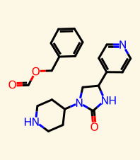 O=C1NC(c2ccncc2)CN1C1CCNCC1.O=COCc1ccccc1